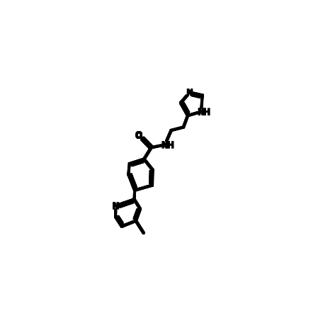 Cc1ccnc(-c2ccc(C(=O)NCCc3cnc[nH]3)cc2)c1